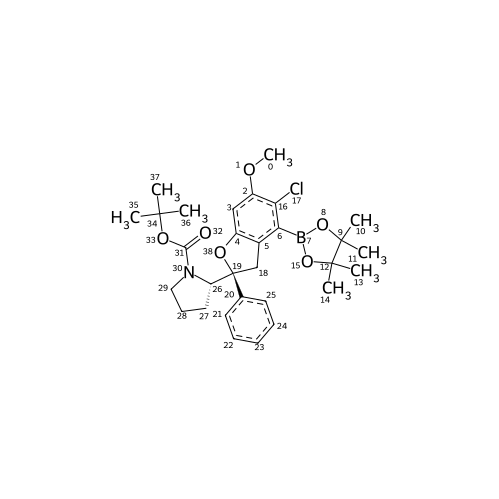 COc1cc2c(c(B3OC(C)(C)C(C)(C)O3)c1Cl)C[C@](c1ccccc1)([C@@H]1CCCN1C(=O)OC(C)(C)C)O2